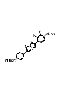 CCCCCCCCCc1ccc(-c2cn3cc(-c4ccc(CCCCCCC)cc4)nc3s2)c(F)c1F